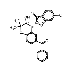 CC1(C)Oc2ccc(C(=O)c3ccccc3)cc2[C@@H](n2oc3cc(Cl)ccc3c2=O)[C@@H]1O